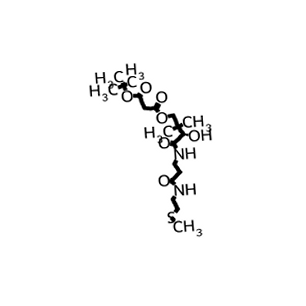 CSCCNC(=O)CCNC(=O)[C@H](O)C(C)(C)COC(=O)CC(=O)OC(C)(C)C